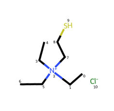 CC[N+](CC)(CC)CCS.[Cl-]